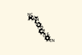 N#CCC1(Cn2ccnc2CN2CCC(Oc3cccc(COc4ccc(C#N)cc4F)n3)CC2)CC1